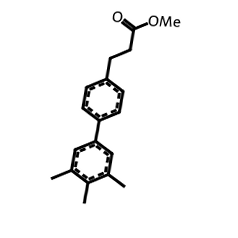 COC(=O)CCc1ccc(-c2cc(C)c(C)c(C)c2)cc1